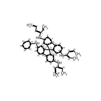 C=C/C=C(\C=C)Nc1ccc2c(c1)C1(c3cc(NC(/C=C\C)=C/C)ccc3-2)c2cc(NC(/C=C\C)=C/C)ccc2-c2ccc(Nc3ccccc3)cc21